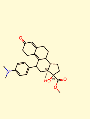 COC(=O)[C@@]1(O)CCC2C3CCC4=CC(=O)CCC4=C3C(c3ccc(N(C)C)cc3)C[C@@]21C